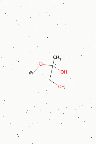 CC(C)OC(C)(O)CO